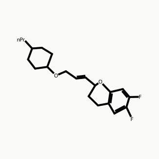 CCCC1CCC(OC/C=C/C2CCc3cc(F)c(F)cc3O2)CC1